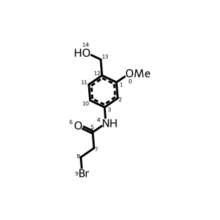 COc1cc(NC(=O)CCBr)ccc1CO